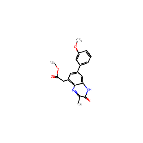 CC(C)(C)OC(=O)Cc1cc(-c2cccc(OC(F)(F)F)c2)cc2[nH]c(=O)c(C(C)(C)C)nc12